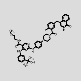 COCCNC(=O)c1cnc(Nc2ccc(N3CCN(C(=O)c4cc(Cc5n[nH]c(=O)c6ccccc56)ccc4F)CC3)cc2)nc1Nc1cccc(C(C)(C)O)n1